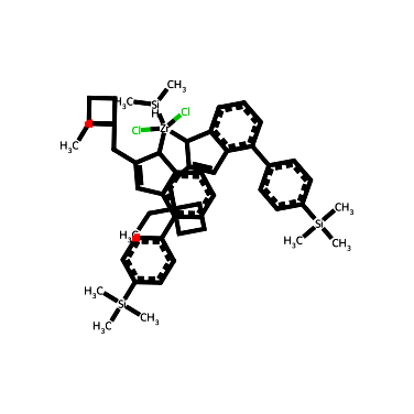 CCC1(CC2=Cc3c(-c4ccc([Si](C)(C)C)cc4)cccc3[CH]2[Zr]([Cl])([Cl])([CH]2C(CC3(CC)CCC3)=Cc3c(-c4ccc([Si](C)(C)C)cc4)cccc32)[SiH](C)C)CCC1